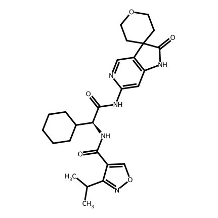 CC(C)c1nocc1C(=O)N[C@H](C(=O)Nc1cc2c(cn1)C1(CCOCC1)C(=O)N2)C1CCCCC1